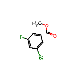 COC=O.Fc1cccc(Br)c1